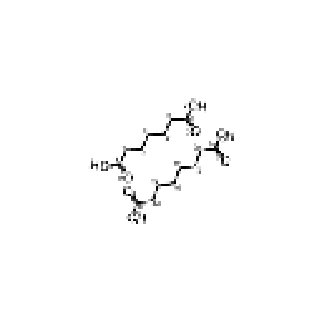 O=C(O)CCCCCC(=O)O.O=C(O)CCCCCCC(=O)O